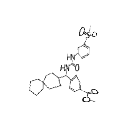 COC(=O)c1ccc(C(NC(=O)Nc2cccc(S(C)(=O)=O)c2)C2CCC3(CCCCC3)CC2)cc1